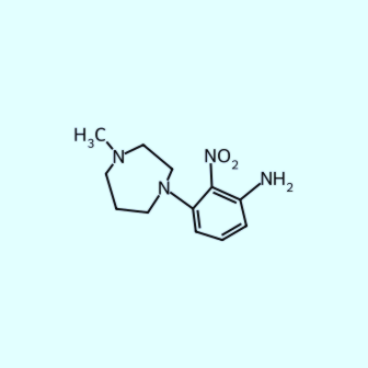 CN1CCCN(c2cccc(N)c2[N+](=O)[O-])CC1